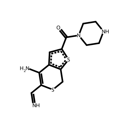 N=CC1=C(N)c2cc(C(=O)N3CCNCC3)sc2CS1